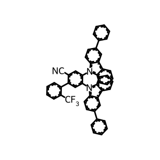 N#Cc1cc(-n2c3ccccc3c3cc(-c4ccccc4)ccc32)c(-n2c3ccccc3c3cc(-c4ccccc4)ccc32)cc1-c1ccccc1C(F)(F)F